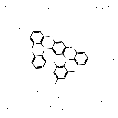 CC(C)c1cc(C(C)C)c(B2c3ccccc3Sc3cc4c(cc32)B2c3ccccc3Sc3cccc(c32)O4)c(C(C)C)c1